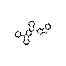 c1ccc(-n2c3ccccc3c3cc4c(cc32)c2ccccc2n4-c2ccc3sc4ccccc4c3c2)cc1